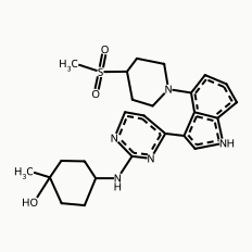 CC1(O)CCC(Nc2nccc(-c3c[nH]c4cccc(N5CCC(S(C)(=O)=O)CC5)c34)n2)CC1